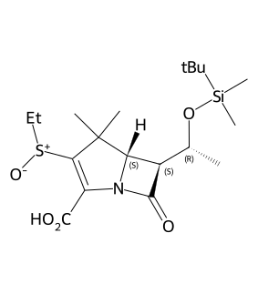 CC[S+]([O-])C1=C(C(=O)O)N2C(=O)[C@H]([C@@H](C)O[Si](C)(C)C(C)(C)C)[C@H]2C1(C)C